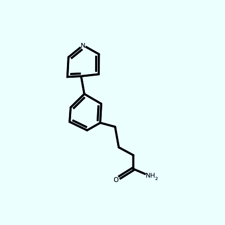 NC(=O)CCCc1cccc(-c2ccncc2)c1